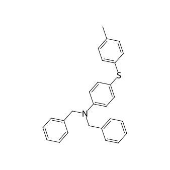 Cc1ccc(Sc2ccc(N(Cc3ccccc3)Cc3ccccc3)cc2)cc1